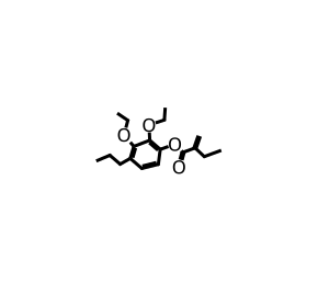 C=C(CC)C(=O)Oc1ccc(CCC)c(OCC)c1OCC